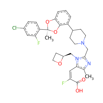 Cc1nc(CN2CCC(c3cccc4c3O[C@@](C)(c3ccc(Cl)cc3F)O4)CC2)n(C[C@@H]2CCO2)c1/C=C(/F)C(=O)O